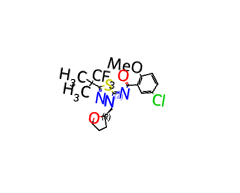 COc1ccc(Cl)cc1C(=O)/N=c1\sc(C(C)(C)C(F)(F)F)nn1C[C@H]1CCCO1